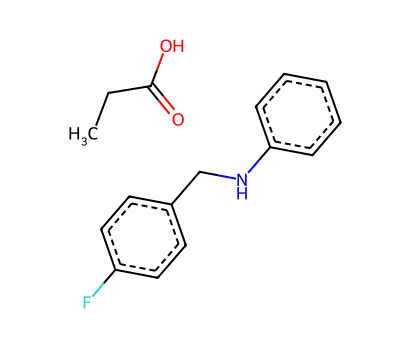 CCC(=O)O.Fc1ccc(CNc2ccccc2)cc1